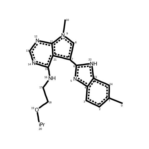 Cc1ccc2nc(-c3cn(C)c4ncnc(NCCOC(C)C)c34)[nH]c2c1